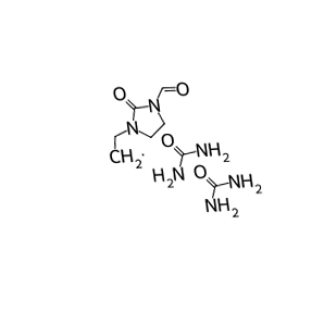 NC(N)=O.NC(N)=O.[CH2]CN1CCN(C=O)C1=O